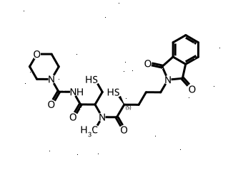 CN(C(=O)[C@@H](S)CCCN1C(=O)c2ccccc2C1=O)C(CS)C(=O)NC(=O)N1CCOCC1